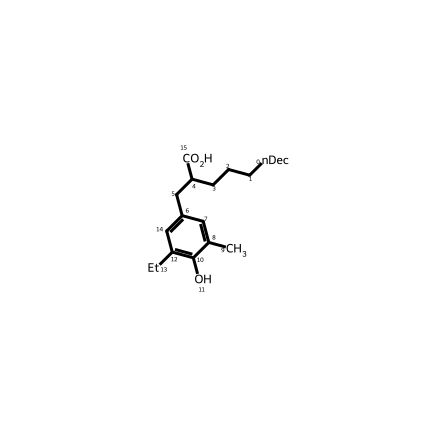 CCCCCCCCCCCCCC(Cc1cc(C)c(O)c(CC)c1)C(=O)O